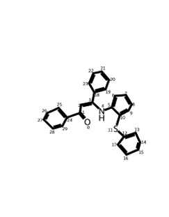 O=C(/C=C(\Nc1ccccc1Sc1ccccc1)c1ccccc1)c1ccccc1